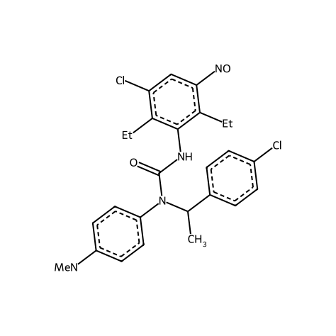 CCc1c(Cl)cc(N=O)c(CC)c1NC(=O)N(c1ccc(NC)cc1)C(C)c1ccc(Cl)cc1